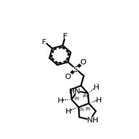 O=S(=O)(CC1C[C@H]2N[C@@H]1[C@H]1CNC[C@H]12)c1ccc(F)c(F)c1